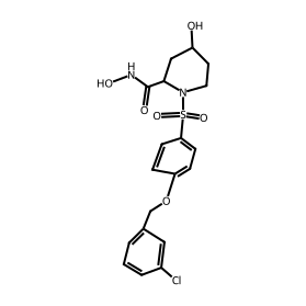 O=C(NO)C1CC(O)CCN1S(=O)(=O)c1ccc(OCc2cccc(Cl)c2)cc1